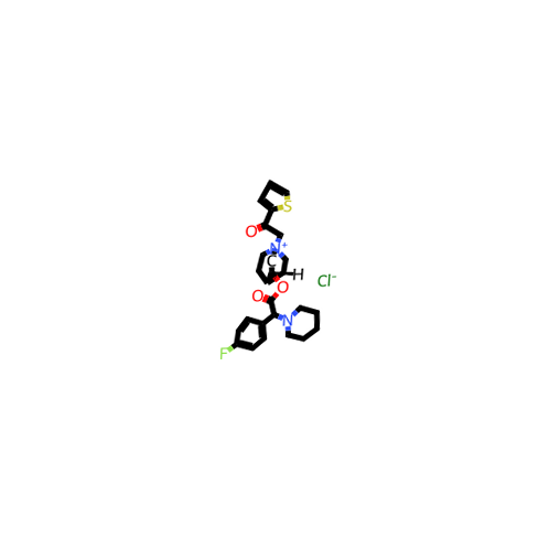 O=C(C[N+]12CCC(CC1)[C@@H](OC(=O)C(c1ccc(F)cc1)N1CCCCC1)C2)c1cccs1.[Cl-]